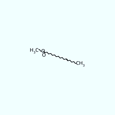 CCCCCC=CCCCCCCCCCCC(=O)OCCC